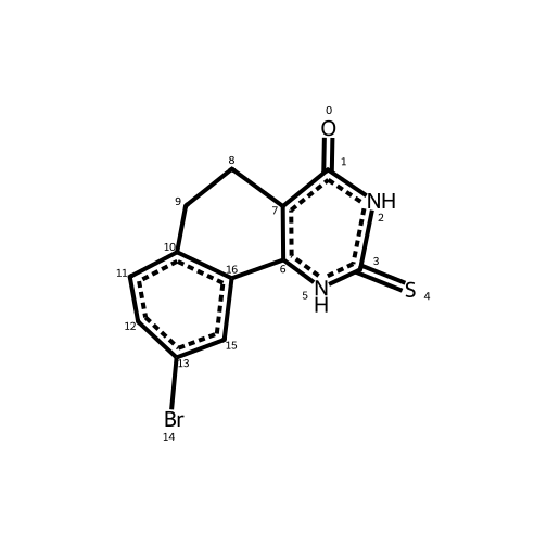 O=c1[nH]c(=S)[nH]c2c1CCc1ccc(Br)cc1-2